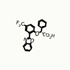 O=C(O)[C@H](Oc1ccc(C(F)(F)F)cc1-c1nc2ccccc2o1)c1ccccc1